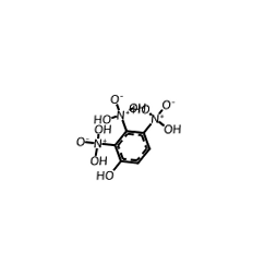 [O-][N+](O)(O)c1ccc(O)c([N+]([O-])(O)O)c1[N+]([O-])(O)O